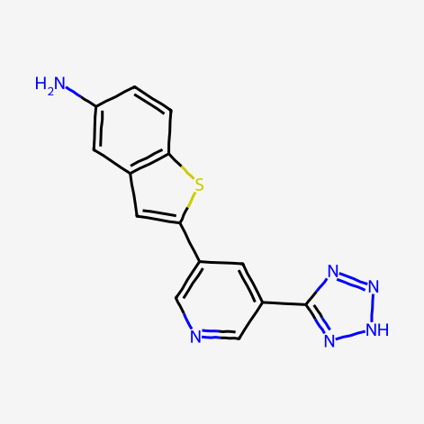 Nc1ccc2sc(-c3cncc(-c4nn[nH]n4)c3)cc2c1